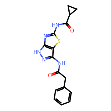 O=C(Cc1ccccc1)Nc1n[nH]c2nc(NC(=O)C3CC3)sc12